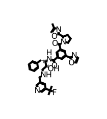 Cc1coc(C2CCCN2C(=O)c2cc(C(=O)N[C@@H](Cc3ccccc3)[C@H](O)CNCc3cncc(C(C)(C)F)c3)cc(-c3ncco3)c2)n1